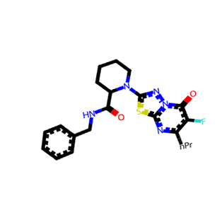 CCCc1nc2sc(N3CCCCC3C(=O)NCc3ccccc3)nn2c(=O)c1F